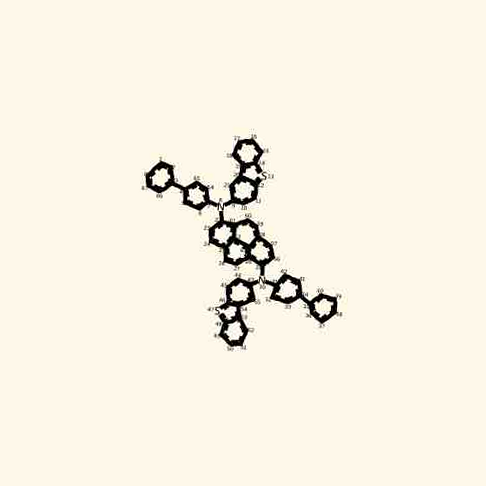 c1ccc(-c2ccc(N(c3ccc4sc5ccccc5c4c3)c3ccc4ccc5c(N(c6ccc(-c7ccccc7)cc6)c6ccc7sc8ccccc8c7c6)ccc6ccc3c4c65)cc2)cc1